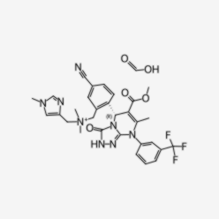 COC(=O)C1=C(C)N(c2cccc(C(F)(F)F)c2)c2n[nH]c(=O)n2[C@@H]1c1ccc(C#N)cc1C[N+](C)(C)Cc1cn(C)cn1.O=CO